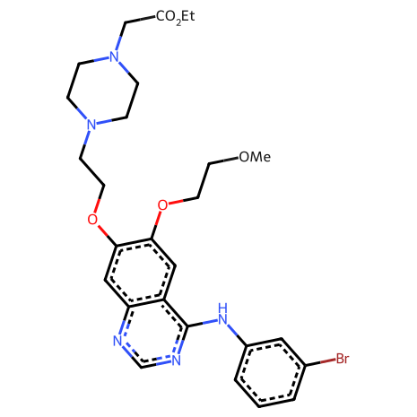 CCOC(=O)CN1CCN(CCOc2cc3ncnc(Nc4cccc(Br)c4)c3cc2OCCOC)CC1